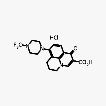 Cl.O=C(O)c1cn2c3c(c(N4CCN(C(F)(F)F)CC4)ccc3c1=O)CCC2